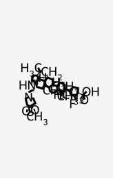 C=C(C)[C@@H]1CC[C@]2(NCCN3CCC(S(C)(=O)=O)CC3)CC[C@]3(C)[C@H](CC[C@@H]4[C@@]5(C)CC=C(C6=CC(CF)[C@H](C(=O)O)CC6)C(C)(C)[C@@H]5CC[C@]43C)[C@@H]12